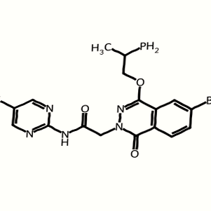 CC(P)COc1nn(CC(=O)Nc2ncc(F)cn2)c(=O)c2ccc(Br)cc12